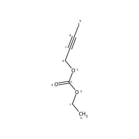 CCOC(=O)OCC#CI